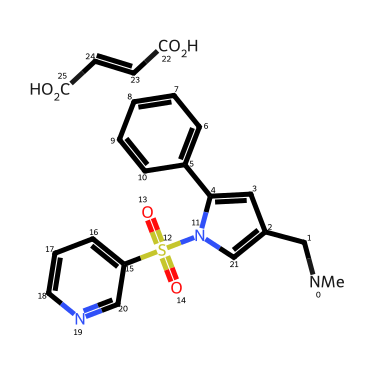 CNCc1cc(-c2ccccc2)n(S(=O)(=O)c2cccnc2)c1.O=C(O)C=CC(=O)O